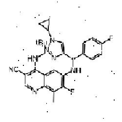 Cc1c(F)c(NC(c2ccc(F)cc2)c2cn(C3CC3)nn2)cc2c(NCC(C)(C)C)c(C#N)cnc12